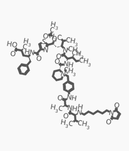 CC[C@H](C)[C@H](NC(=O)[C@H]1CCCC[N+]1(C)Cc1ccc(NC(=O)[C@H](C)NC(=O)[C@@H](NCCCCCCN2C(=O)C=CC2=O)C(C)C)cc1)C(=O)N(C)[C@H](C[C@@H](OC(C)=O)c1nc(C(=O)N[C@@H](Cc2ccccc2)C[C@H](C)C(=O)O)cs1)C(C)C